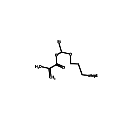 C=C(C)C(=O)OC(CC)OCCCCCCCCCC